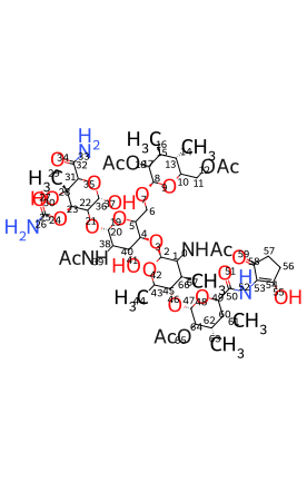 CC(=O)NC1[C@H](O[C@@H]2C(CO[C@@H]3OC(COC(C)=O)[C@@H](C)[C@H](C)C3OC(C)=O)O[C@@H](OC3[C@@H](OC(N)=O)[C@](C)(O)C(C(N)=O)O[C@@H]3O)C(NC(C)=O)[C@H]2O)OC(C)[C@@H](O[C@@H]2OC(C(=O)NC3=C(O)CCC3=O)[C@H](C)[C@H](C)C2OC(C)=O)[C@@H]1C